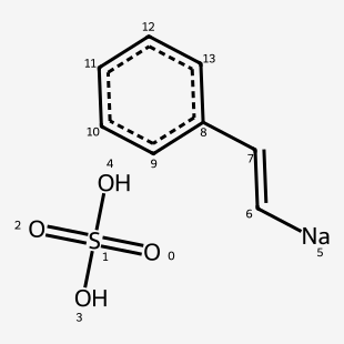 O=S(=O)(O)O.[Na][CH]=Cc1ccccc1